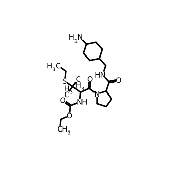 CCOC(=O)NC(C(=O)N1CCCC1C(=O)NCC1CCC(N)CC1)C(C)(C)SCC